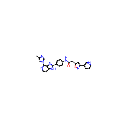 Cc1cn(-c2nccc3[nH]c(-c4ccc(NC(=O)Cc5cc(-c6cccnc6)no5)cc4)nc23)cn1